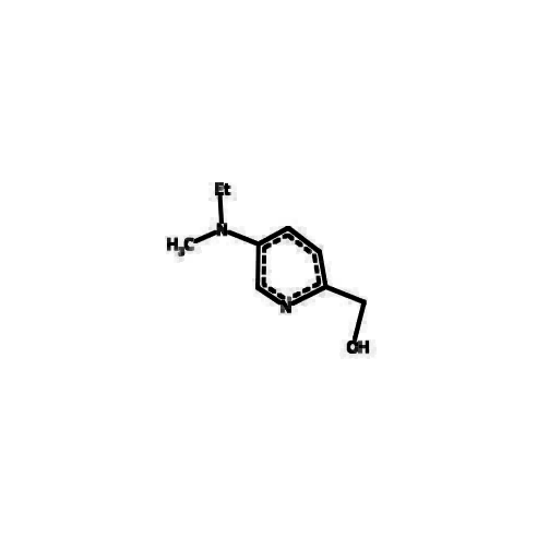 CCN(C)c1ccc(CO)nc1